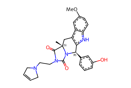 COc1ccc2[nH]c3c(c2c1)C[C@@]1(C)C(=O)N(CCN2CC=CC2)C(=O)N1[C@@H]3c1cccc(O)c1